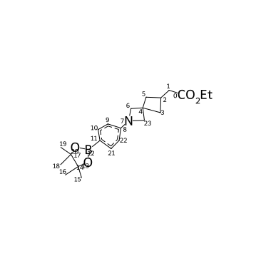 CCOC(=O)CC1CC2(C1)CN(c1ccc(B3OC(C)(C)C(C)(C)O3)cc1)C2